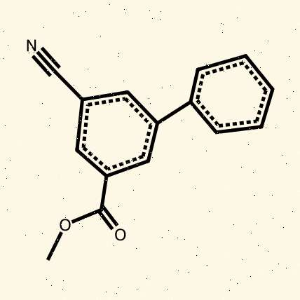 COC(=O)c1cc(C#N)cc(-c2ccccc2)c1